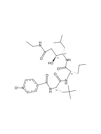 CCC[C@H](NC(=O)[C@H](CC(C)(C)C)NC(=O)c1cc[n+]([O-])cc1)C(=O)N[C@@H](CC(C)C)[C@@H](O)CC(=O)NCC